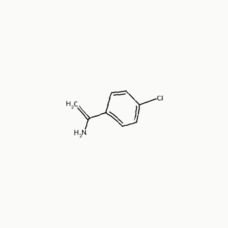 C=C(N)c1ccc(Cl)cc1